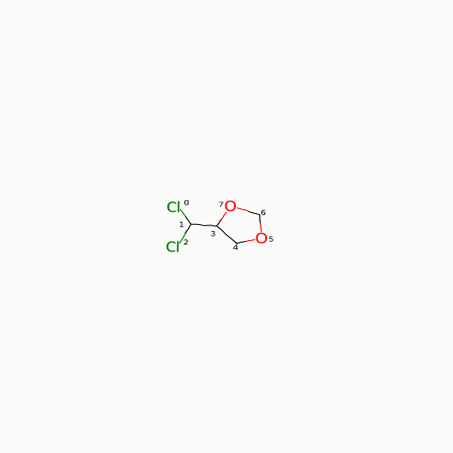 ClC(Cl)C1COCO1